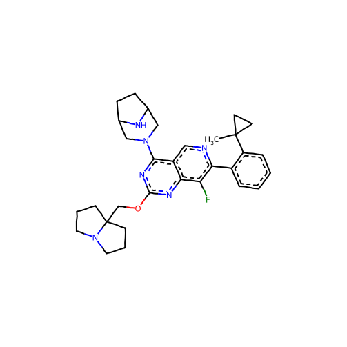 CC1(c2ccccc2-c2ncc3c(N4CC5CCC(C4)N5)nc(OCC45CCCN4CCC5)nc3c2F)CC1